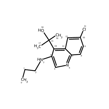 CCCNc1cnc2ccc(Cl)cc2c1C(C)(C)O